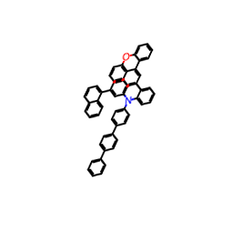 c1ccc(-c2ccc(-c3ccc(N(c4cccc(-c5cccc6ccccc56)c4)c4ccccc4-c4cc5c6c(cccc6c4)Oc4ccccc4-5)cc3)cc2)cc1